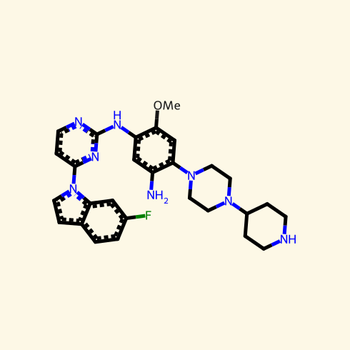 COc1cc(N2CCN(C3CCNCC3)CC2)c(N)cc1Nc1nccc(-n2ccc3ccc(F)cc32)n1